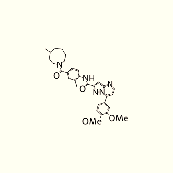 COc1ccc(-c2ccnc3cc(C(=O)Nc4ccc(C(=O)N5CCCCC(C)CC5)cc4C)nn23)cc1OC